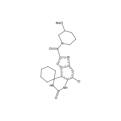 COC1CCCN(C(=O)c2nc3cc(Cl)c4c(c3o2)C2(CCCCC2)NC(=O)N4)C1